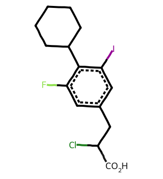 O=C(O)C(Cl)Cc1cc(F)c(C2CCCCC2)c(I)c1